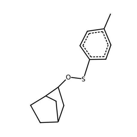 Cc1ccc(SOC2CC3CCC2C3)cc1